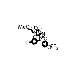 COCC(=O)Cn1c(=O)c2c(nc(Oc3cccc(OC(F)(F)F)c3)n2Cc2ccc(Cl)cc2)n(C)c1=O